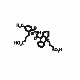 Cc1ccc(S(=O)(=O)NC(=O)c2c3ccccc3[n+](CCCS(=O)(=O)O)c3ccccc23)c(CCCC(=O)O)c1